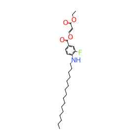 CCCCCCCCCCCCCCCCNc1ccc(C(=O)OC=CC(=O)OCC)cc1F